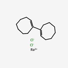 C1=C(C2=CCCCCCC2)CCCCCC1.[Cl-].[Cl-].[Ra+2]